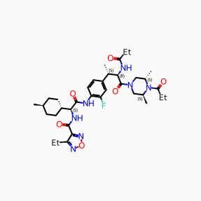 CCC(=O)N[C@@H](C(=O)N1C[C@H](C)N(C(=O)CC)[C@@H](C)C1)[C@@H](C)c1ccc(NC(=O)[C@@H](NC(=O)c2nonc2CC)[C@H]2CC[C@H](C)CC2)c(F)c1